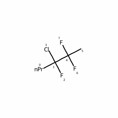 CCCC(F)(Cl)C(C)(F)F